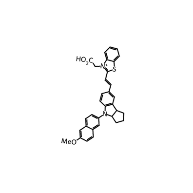 COc1ccc2cc(N3c4ccc(/C=C/c5sc6ccccc6[n+]5CC(=O)O)cc4C4CCCC43)ccc2c1